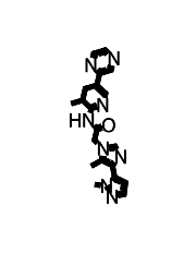 Cc1c(-c2ccnn2C)ncn1CC(=O)NC1=NC=C(c2cnccn2)CC1C